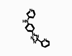 c1ccc(-c2nnn(-c3ccc(Nc4cccnc4)cc3)n2)nc1